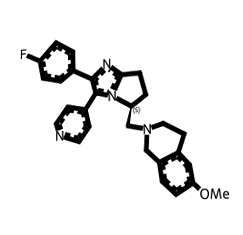 COc1ccc2c(c1)CCN(C[C@@H]1CCc3nc(-c4ccc(F)cc4)c(-c4ccncc4)n31)C2